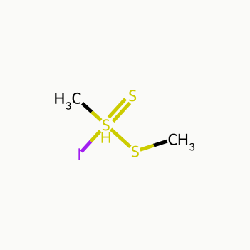 CS[SH](C)(=S)I